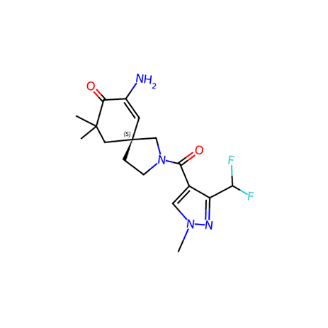 Cn1cc(C(=O)N2CC[C@@]3(C=C(N)C(=O)C(C)(C)C3)C2)c(C(F)F)n1